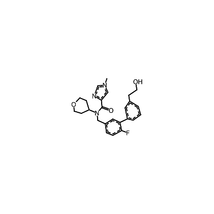 Cn1cnc(C(=O)N(Cc2ccc(F)c(-c3cccc(CCO)c3)c2)C2CCOCC2)c1